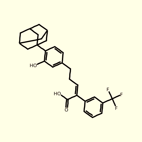 O=C(O)C(=CCCc1ccc(C23CC4CC(CC(C4)C2)C3)c(O)c1)c1cccc(C(F)(F)F)c1